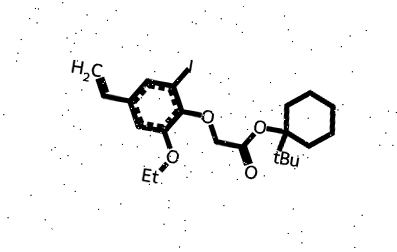 C=Cc1cc(I)c(OCC(=O)OC2(C(C)(C)C)CCCCC2)c(OCC)c1